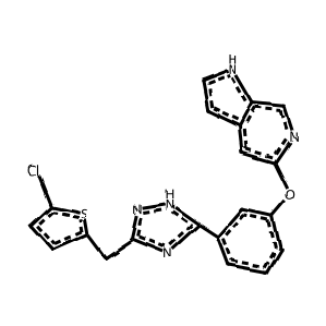 Clc1ccc(Cc2n[nH]c(-c3cccc(Oc4cc5cc[nH]c5cn4)c3)n2)s1